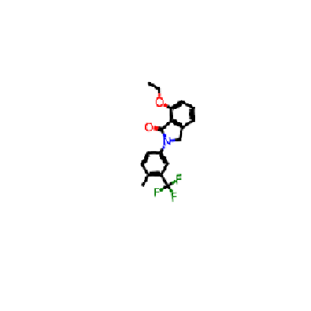 CCOc1cccc2c1C(=O)N(c1ccc(C)c(C(F)(F)F)c1)C2